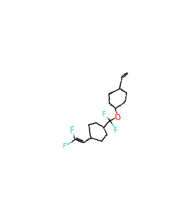 C=CC1CCC(OC(F)(F)C2CCC(C=C(F)F)CC2)CC1